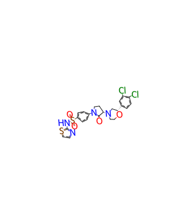 O=C1[C@@H](N2CCO[C@@H](c3ccc(Cl)c(Cl)c3)C2)CCN1c1ccc(S(=O)(=O)Nc2nccs2)cc1